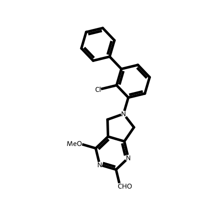 COc1nc(C=O)nc2c1CN(c1cccc(-c3ccccc3)c1Cl)C2